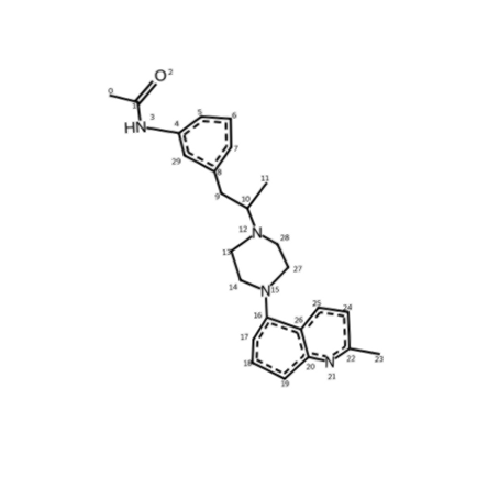 CC(=O)Nc1cccc(CC(C)N2CCN(c3cccc4nc(C)ccc34)CC2)c1